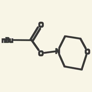 [CH2]CCCC(=O)ON1CCOCC1